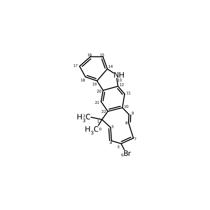 CC1(C)/C=C/C(Br)=C\C=C\c2cc3[nH]c4ccccc4c3cc21